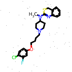 CN(C1=Nc2ccccc2CS1)C1CCN(CCCCOc2ccc(Cl)c(F)c2)CC1